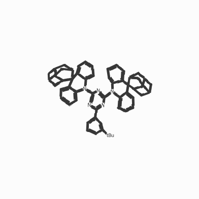 CC(C)(C)c1cccc(-c2nc(N3c4ccccc4C4(c5ccccc53)C3CC5CC(C3)CC4C5)nc(N3c4ccccc4C4(c5ccccc53)C3CC5CC(C3)CC4C5)n2)c1